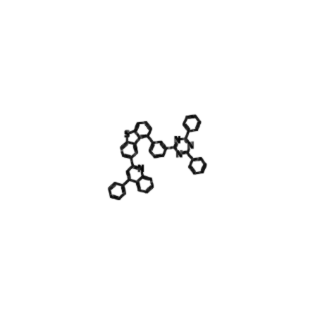 c1ccc(-c2nc(-c3ccccc3)nc(-c3cccc(-c4cccc5sc6ccc(-c7cc(-c8ccccc8)c8ccccc8n7)cc6c45)c3)n2)cc1